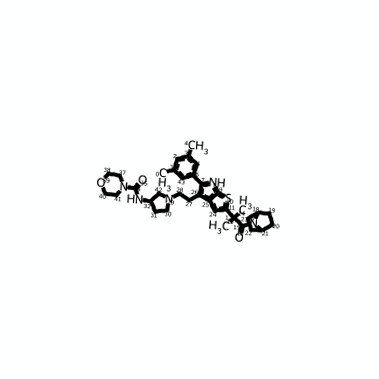 Cc1cc(C)cc(-c2[nH]c3sc(C(C)(C)C(=O)N4C5CCC4CC5)cc3c2CCN2CCC(NC(=O)N3CCOCC3)C2)c1